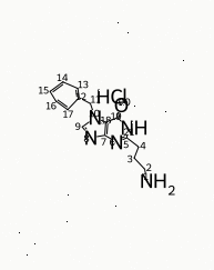 Cl.NCCCc1nc2ncn(Cc3ccccc3)c2c(=O)[nH]1